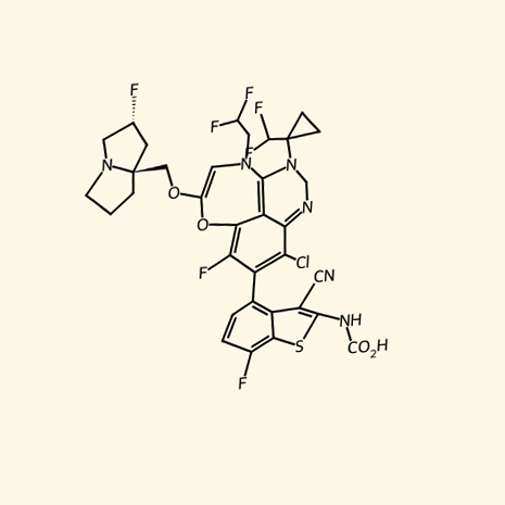 N#Cc1c(NC(=O)O)sc2c(F)ccc(-c3c(F)c4c5c(c3Cl)=NCN(C3(C(F)F)CC3)C=5N(CC(F)F)C=C(OC[C@@]35CCCN3C[C@H](F)C5)O4)c12